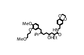 CC[C@H](C[C@H](O)CC[C@H](Cc1ccc(OC)c(OCCCOC)c1)C(C)C)C(=O)NCc1ccc2c(c1)OCCO2